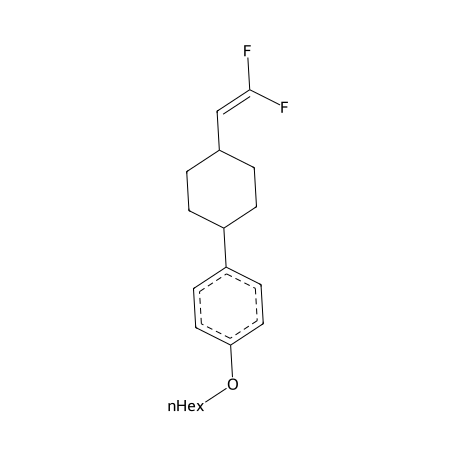 CCCCCCOc1ccc(C2CCC(C=C(F)F)CC2)cc1